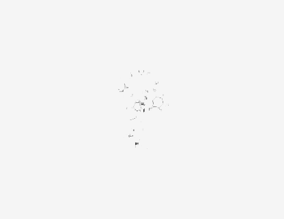 COC1CN(C(=O)C2CCc3c(C4=CCC(C(=O)OC(C)(C)C)CC4)nn(C(=O)c4c(Cl)cccc4C4CC4)c3C2)C1